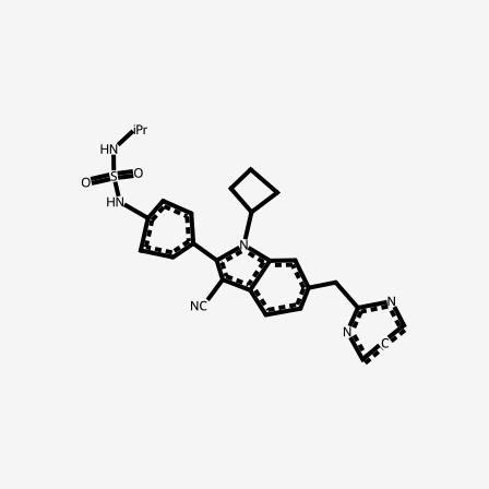 CC(C)NS(=O)(=O)Nc1ccc(-c2c(C#N)c3ccc(Cc4ncccn4)cc3n2C2CCC2)cc1